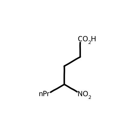 CCCC(CCC(=O)O)[N+](=O)[O-]